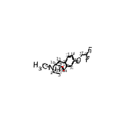 CN1CC[C@@]23CCCC[C@@H]2C1Cc1ccc(OCC(F)F)cc13